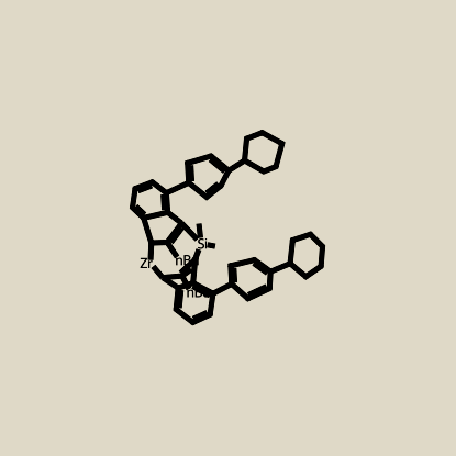 CCCCC1=C2c3c(-c4ccc(C5CCCCC5)cc4)cccc3[CH]1[Zr][CH]1C(CCCC)=C(c3c(-c4ccc(C5CCCCC5)cc4)cccc31)[Si]2(C)C